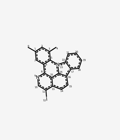 Cc1cc(C)c2c(c1)c1ncc(I)c3ccc4c5ccccc5n2c4c31